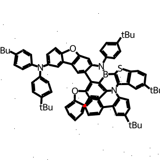 CC(C)(C)c1ccc(N2B3c4sc5ccc(C(C)(C)C)cc5c4N(c4ccc(C(C)(C)C)cc4-c4ccccc4)c4cc5c(oc6ccccc65)c(c43)-c3cc4c(cc32)oc2ccc(N(c3ccc(C(C)(C)C)cc3)c3ccc(C(C)(C)C)cc3)cc24)cc1